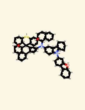 c1ccc2c(c1)Sc1ccccc1C21c2cc(N(c3ccc4c(c3)c3ccccc3n4-c3ccc4c(c3)oc3ccccc34)c3cccc4ccccc34)ccc2-c2cccc3cccc1c23